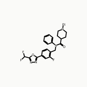 CCN1CCC(C(=O)N(Cc2ccc(-c3nnc(C(F)F)o3)cc2F)c2ccccc2)CC1